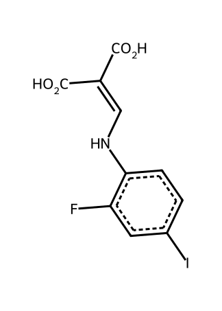 O=C(O)C(=CNc1ccc(I)cc1F)C(=O)O